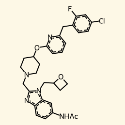 CC(=O)Nc1ccc2nc(CN3CCC(Oc4cccc(Cc5ccc(Cl)cc5F)n4)CC3)n(CC3CCO3)c2c1